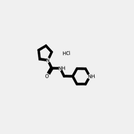 Cl.O=C(NCC1CCNCC1)N1CCCC1